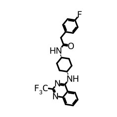 O=C(Cc1ccc(F)cc1)N[C@H]1CC[C@@H](Nc2nc(C(F)(F)F)nc3ccccc23)CC1